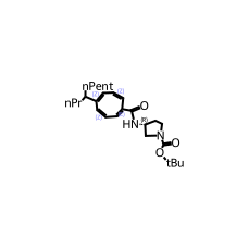 CCCCCC(CCC)C1=C/C=C\C(C(=O)N[C@@H]2CCN(C(=O)OC(C)(C)C)C2)=C/C=C\1